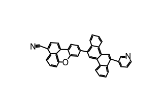 N#Cc1ccc2c3c(cccc13)Oc1cc(-c3cc4c5ccccc5c(-c5cccnc5)cc4c4ccccc34)ccc1-2